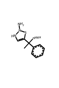 CCCCCCC(C)(C1=CNN(N)S1)c1ccccc1